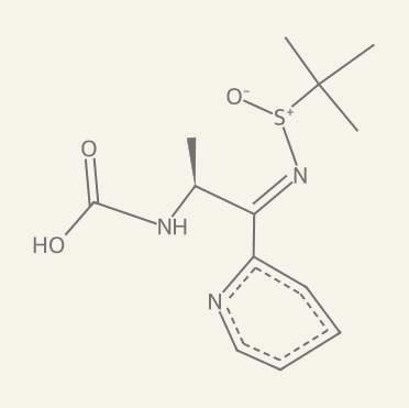 C[C@H](NC(=O)O)/C(=N\[S+]([O-])C(C)(C)C)c1ccccn1